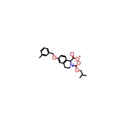 COC(=O)C1c2ccc(OCc3cccc(C)c3)cc2CCN1C(=O)OCC(C)C